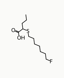 CCCC(SCCCCCCCF)C(=O)O